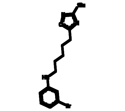 CC(C)(C)c1noc(CCCCCNc2cccc(Br)c2)n1